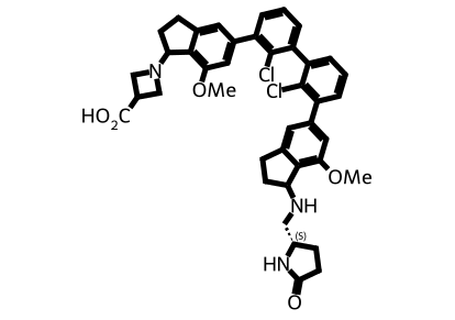 COc1cc(-c2cccc(-c3cccc(-c4cc5c(c(OC)c4)C(N4CC(C(=O)O)C4)CC5)c3Cl)c2Cl)cc2c1C(NC[C@@H]1CCC(=O)N1)CC2